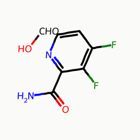 NC(=O)c1nccc(F)c1F.O=CO